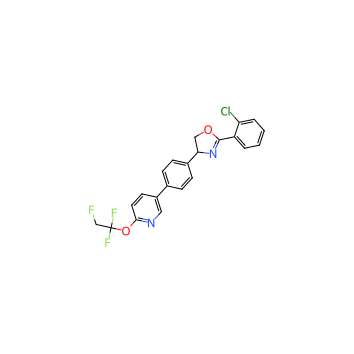 FCC(F)(F)Oc1ccc(-c2ccc(C3COC(c4ccccc4Cl)=N3)cc2)cn1